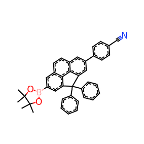 CC1(C)OB(c2cc3c4c(ccc5cc(-c6ccc(C#N)cc6)cc(c54)C3(c3ccccc3)c3ccccc3)c2)OC1(C)C